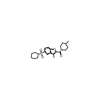 Cc1c(C(=O)N2CCC(C)CC2)oc2ccc(S(=O)(=O)N3CCCCC3)cc12